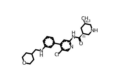 C[C@H]1CNC[C@@H](C(=O)Nc2cc(-c3cccc(NCC4CCOCC4)c3)c(Cl)cn2)C1